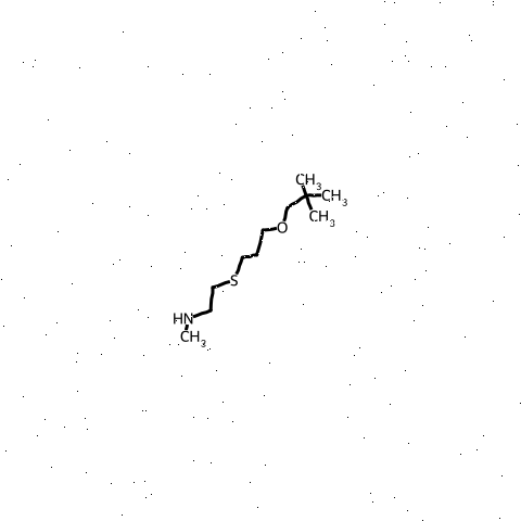 CNCCSCCCOCC(C)(C)C